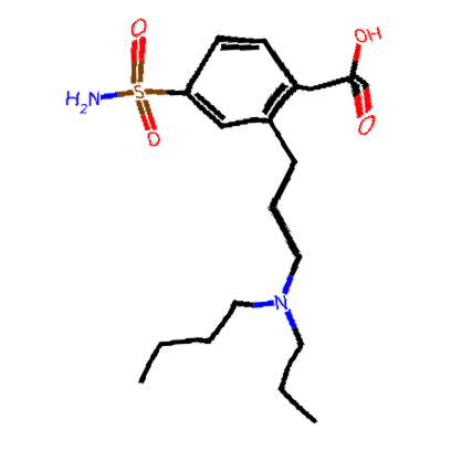 CCCCN(CCC)CCCc1cc(S(N)(=O)=O)ccc1C(=O)O